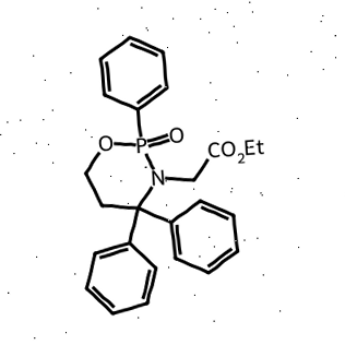 CCOC(=O)CN1C(c2ccccc2)(c2ccccc2)CCOP1(=O)c1ccccc1